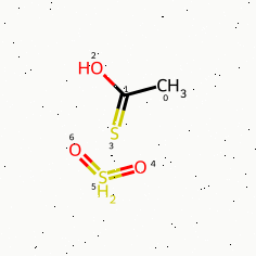 CC(O)=S.O=[SH2]=O